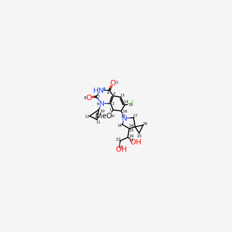 COC1c2c(c(=O)[nH]c(=O)n2C2CC2)C=C(F)C1N1CC(C(O)CO)C2(CC2)C1